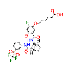 COc1cc(F)c(OCCCCCC(=O)O)cc1C(=O)N[C@@H]1[C@H]2CC[C@H](C2)[C@@H]1C(=O)Nc1cccc(S(=O)(=O)C(F)(F)F)c1